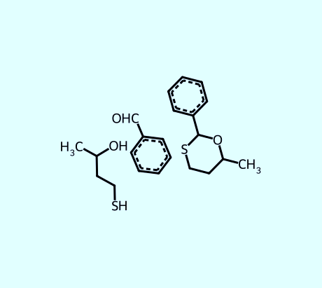 CC(O)CCS.CC1CCSC(c2ccccc2)O1.O=Cc1ccccc1